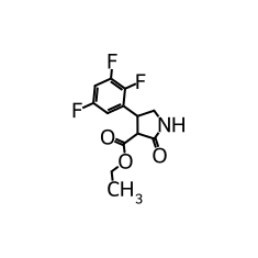 CCOC(=O)C1C(=O)NCC1c1cc(F)cc(F)c1F